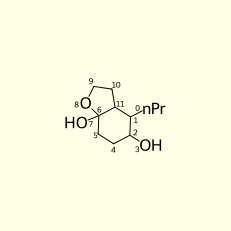 [CH2]CCC1C(O)CCC2(O)OCCC12